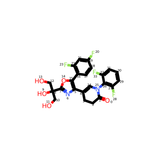 O=C1CCC(c2nc(C(O)(CO)CO)oc2-c2ccc(F)cc2F)=CN1c1c(F)cccc1F